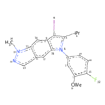 COc1cc(-n2c(C(C)C)c(I)c3cc4c(cnn4C)cc32)ccc1F